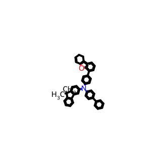 CC1(C)c2ccccc2-c2cc(N(c3ccc(-c4ccccc4)cc3)c3ccc(-c4cccc5c6c(oc45)C=CCC6)cc3)ccc21